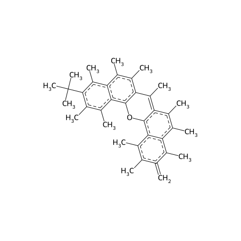 C=c1c(C)c(C)c2c3c(c(C)c(C)c2c1C)=C(C)c1c(C)c(C)c2c(C)c(C(C)(C)C)c(C)c(C)c2c1O3